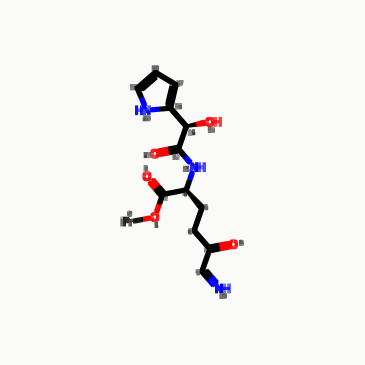 CC(C)OC(=O)[C@H](CCC(=O)C=N)NC(=O)[C@H](O)c1ccc[nH]1